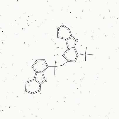 CC(C)(C)c1cc(CC(C)(C)c2cccc3c2sc2ccccc23)cc2c1oc1ccccc12